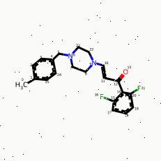 Cc1ccc(CN2CCN(C=CC(=O)c3c(F)cccc3F)CC2)cc1